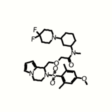 COc1cc(C)c(S(=O)(=O)N2CCn3cccc3C2COCC(=O)N(C)C2CCCC(N3CCC(F)(F)CC3)C2)c(C)c1